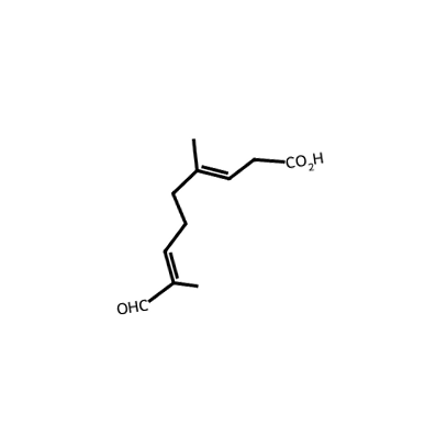 CC(C=O)=CCCC(C)=CCC(=O)O